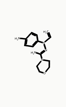 C=CN(/N=C(\N)N1CCOCC1)c1ccc(N)cc1